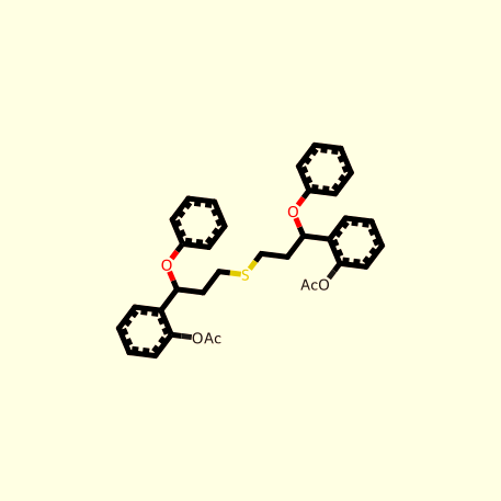 CC(=O)Oc1ccccc1C(CCSCCC(Oc1ccccc1)c1ccccc1OC(C)=O)Oc1ccccc1